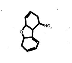 O=[N+]([O-])C1CC=CC2OC3CC=CC=C3C21